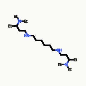 CCC(CCNCCCCCCNCCC(CC)N(CC)CC)N(CC)CC